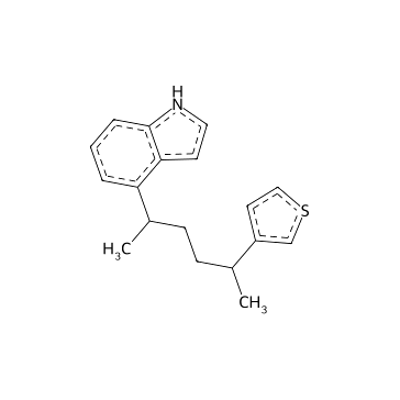 CC(CCC(C)c1cccc2[nH]ccc12)c1ccsc1